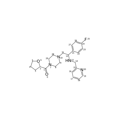 O=C(C1CCCO1)N1CCN(CC(NCc2ccccn2)c2ccc(F)cc2)CC1